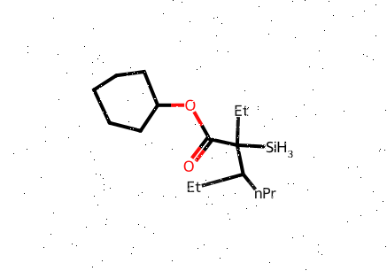 CCCC(CC)C([SiH3])(CC)C(=O)OC1CCCCC1